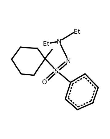 CCN(CC)N=S(=O)(c1ccccc1)C1(C)CCCCC1